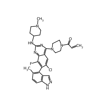 C=CC(=O)N1CCN(c2nc(NC3CCN(C)CC3)nc3c(F)c(-c4c(C)ccc5[nH]ncc45)c(Cl)cc23)CC1